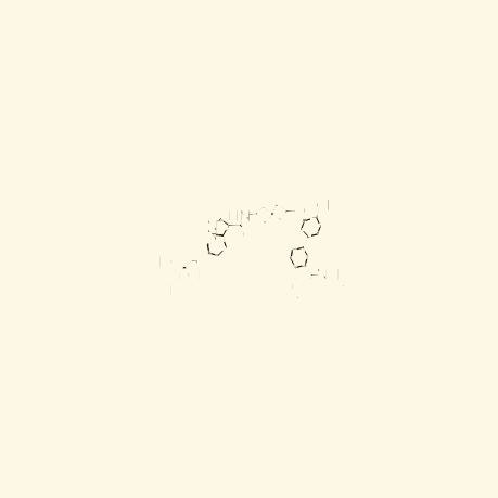 Cc1ccc(-c2cccc(C(N)C(=O)O)c2)cc1OC1CC2(CC(NC(=O)c3cnn4cc(OCC(C)(C)O)ccc34)C2)C1